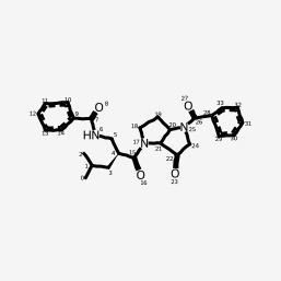 CC(C)C[C@@H](CNC(=O)c1ccccc1)C(=O)N1CCC2C1C(=O)CN2C(=O)c1ccccc1